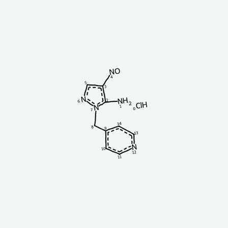 Cl.Nc1c(N=O)cnn1Cc1ccncc1